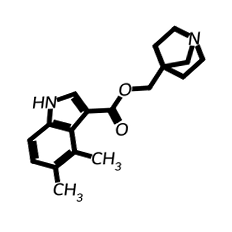 Cc1ccc2[nH]cc(C(=O)OCC34CCN(CC3)C4)c2c1C